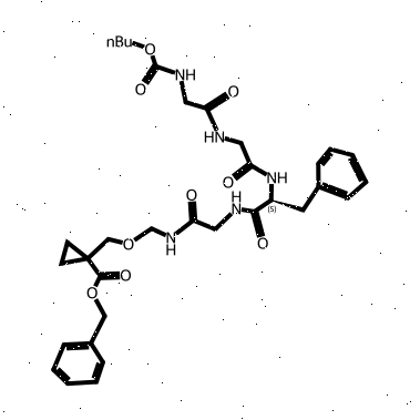 CCCCOC(=O)NCC(=O)NCC(=O)N[C@@H](Cc1ccccc1)C(=O)NCC(=O)NCOCC1(C(=O)OCc2ccccc2)CC1